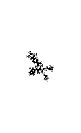 CC1(c2ccc(-c3cnn4c(N(COCC[Si](C)(C)C)COCC[Si](C)(C)C)c(Br)c([C@H]5C[C@@H]6CC[C@@H](C6)C5)nc34)cn2)NC(=O)NC1=O